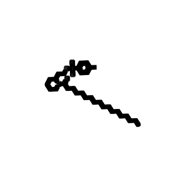 CCCCCCCCCCCCCCCCCC(=O)N1CCCCC1CCOS(=O)(=O)c1ccc(C)cc1